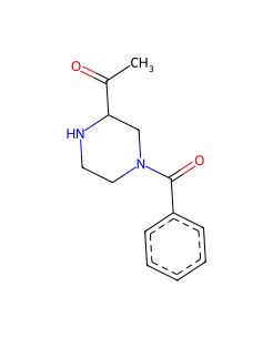 CC(=O)C1CN(C(=O)c2ccccc2)CCN1